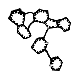 c1ccc(-c2cccc(-n3c4ccccc4c4ccc5c(c43)-c3cccc4cccc-5c34)n2)nc1